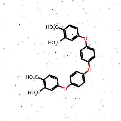 O=C(O)c1ccc(Oc2ccc(Oc3ccc(Oc4ccc(C(=O)O)c(C(=O)O)c4)cc3)cc2)cc1C(=O)O